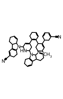 CC1C=C(C2C=CC=C(C#N)C2)C(C2=C(C3=CC(N4C5=C(C=C(C#N)CC5)C5CCC=CC54)NC(N4C5=C(C=CCC5)C5CCC=NC54)C3)CCC=C2)CC1